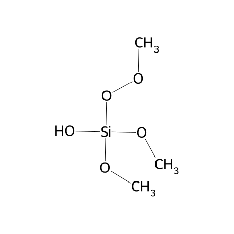 COO[Si](O)(OC)OC